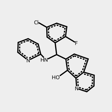 Oc1c(C(Nc2ccccn2)c2cc(Cl)ccc2F)ccc2cccnc12